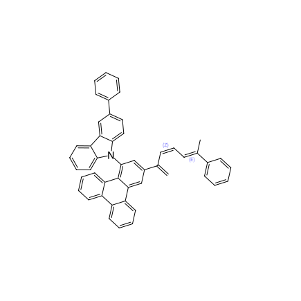 C=C(/C=C\C=C(/C)c1ccccc1)c1cc(-n2c3ccccc3c3cc(-c4ccccc4)ccc32)c2c3ccccc3c3ccccc3c2c1